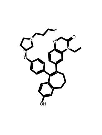 CCN1C(=O)COc2ccc(C3=C(c4ccc(O[C@H]5CCN(CCCF)C5)cc4)c4ccc(O)cc4CCC3)cc21